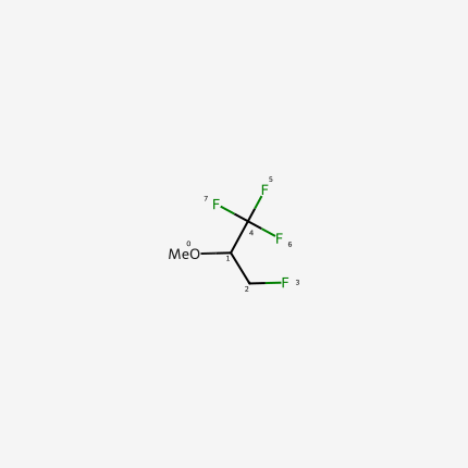 [CH2]OC(CF)C(F)(F)F